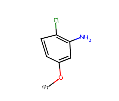 CC(C)Oc1ccc(Cl)c(N)c1